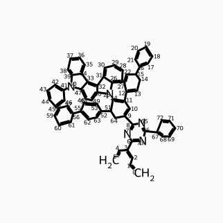 C=C/C=C(\C=C)c1nc(C2=CC(C3=CCC(c4ccccc4)C=C3)=C(n3c4ccccc4c4c5c6ccccc6n(-c6ccccc6)c5ccc43)C(c3ccc(-c4ccccc4)cc3)C2)nc(-c2ccccc2)n1